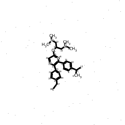 CC(I)c1ccc(-c2nc(OC(CN(C)C)CN(C)C)cnc2-c2ccc(CI)cc2)cc1